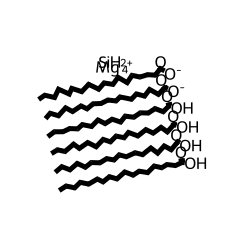 CCCCCCCCCCCCCCCCCC(=O)O.CCCCCCCCCCCCCCCCCC(=O)O.CCCCCCCCCCCCCCCCCC(=O)O.CCCCCCCCCCCCCCCCCC(=O)O.CCCCCCCCCCCCCCCCCC(=O)[O-].CCCCCCCCCCCCCCCCCC(=O)[O-].[Mg+2].[SiH4]